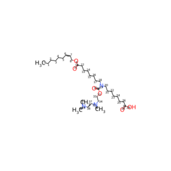 CCCCCC/C=C\COC(=O)CCCCCCCN(CCCCCCCC(=O)O)C(=O)OCCN(C)CCN(C)C